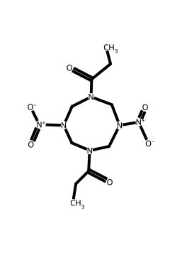 CCC(=O)N1CN([N+](=O)[O-])CN(C(=O)CC)CN([N+](=O)[O-])C1